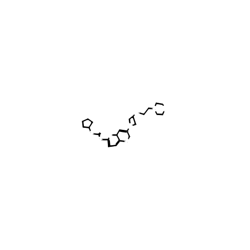 O=C(NC1=CC=C2NCC(N3CC(OCCN4CCOCC4)C3)=CC2N1)NC1CCCC1